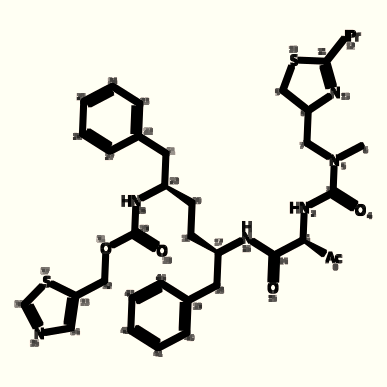 CC(=O)[C@H](NC(=O)N(C)CC1CSC(C(C)C)=N1)C(=O)N[C@H](CC[C@H](Cc1ccccc1)NC(=O)OCc1cncs1)Cc1ccccc1